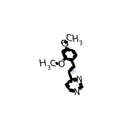 COc1ccc(/C=C/c2ccncn2)c(OC)c1